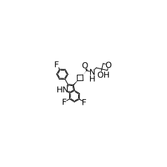 O=C(NCC1(O)COC1)[C@H]1C[C@H](c2c(-c3ccc(F)cc3)[nH]c3c(F)cc(F)cc32)C1